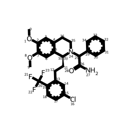 COc1cc2c(cc1OC)[C@H](CCc1cc(Cl)ccc1C(F)(F)F)N(C(C(N)=O)c1ccccc1)CC2